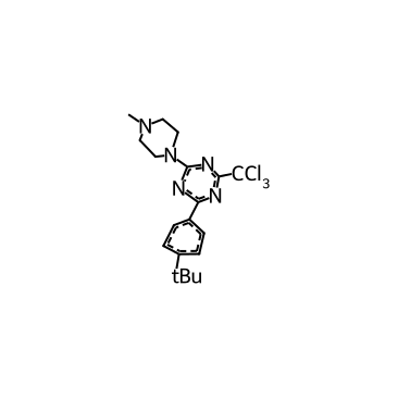 CN1CCN(c2nc(-c3ccc(C(C)(C)C)cc3)nc(C(Cl)(Cl)Cl)n2)CC1